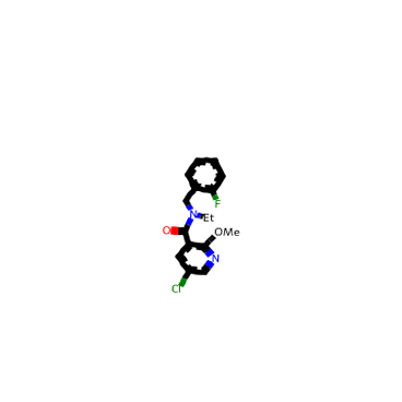 CCN(Cc1ccccc1F)C(=O)c1cc(Cl)cnc1OC